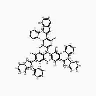 Cc1cc(N(c2cc(C)c(-c3nc4cccnc4n3-c3ccccc3)cc2C)c2cc(C)c(-c3nc4cccnc4n3-c3ccccc3)cc2C)c(C)cc1-c1nc2cccnc2n1-c1ccccc1